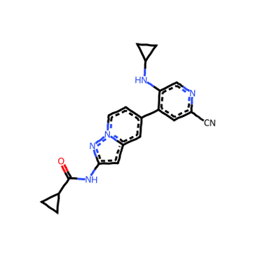 N#Cc1cc(-c2ccn3nc(NC(=O)C4CC4)cc3c2)c(NC2CC2)cn1